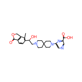 Cc1c([C@@H](O)CN2CCC3(CC2)CCN(c2cncc(C(=O)O)n2)CC3)ccc2c1COC2=O